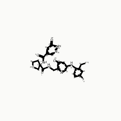 O=C(N[C@@]1(C(=O)NCc2ncc(Nc3ccc(F)cc3CF)cc2Cl)CCOC1)c1cn[nH]c(=O)c1